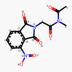 CC(=O)N(C)C(=O)CN1C(=O)c2cccc([N+](=O)[O-])c2C1=O